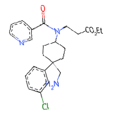 CCOC(=O)CCN(C(=O)c1cccnc1)C1CCC(CN)(c2cccc(Cl)c2)CC1